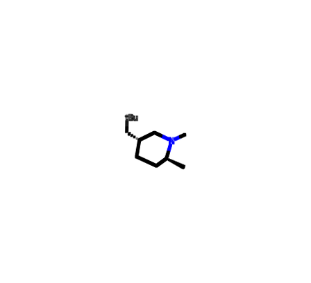 C[C@H]1CC[C@H](CC(C)(C)C)CN1C